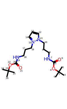 CC(C)(C)OC(=O)NCCCn1ccc[n+]1CCCNC(=O)OC(C)(C)C